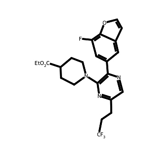 CCOC(=O)C1CCN(c2nc(CCC(F)(F)F)cnc2-c2cc(F)c3occc3c2)CC1